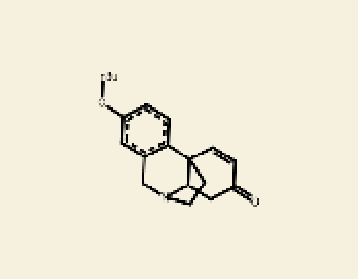 CCCCOc1ccc2c(c1)CN1CCC23C=CC(=O)CC13